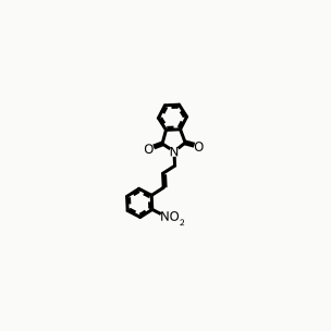 O=C1c2ccccc2C(=O)N1C/C=C/c1ccccc1[N+](=O)[O-]